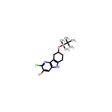 CC(C)(C)[Si](C)(C)OC1CCc2[nH]c3cc(Br)c(Cl)nc3c2C1